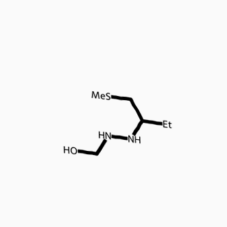 CCC(CSC)NNCO